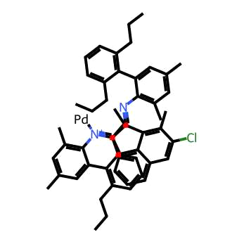 CCCc1cccc(CCC)c1-c1cc(C)cc(C)c1N=C1C(=[N+]([Pd])c2c(C)cc(C)cc2-c2c(CCC)cccc2CCC)c2cccc3cc(Cl)c(C)c1c23